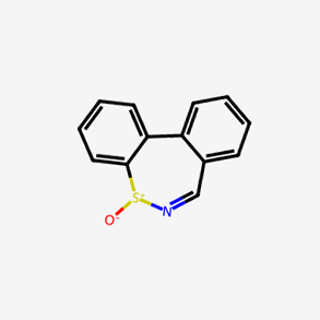 [O-][S+]1N=Cc2ccccc2-c2ccccc21